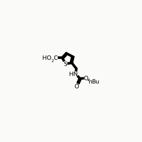 CCCCOC(=O)NCc1ccc(C(=O)O)s1